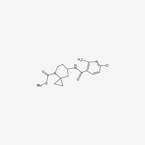 Cc1nc(Cl)ccc1C(=O)NC1CCN(C(=O)OC(C)(C)C)C2(CC2)C1